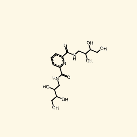 O=C(NCC(O)C(O)CO)c1cccc(C(=O)NCC(O)C(O)CO)n1